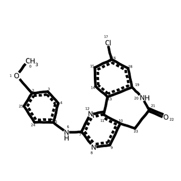 COc1ccc(Nc2ncc3c(n2)-c2ccc(Cl)cc2NC(=O)C3)cc1